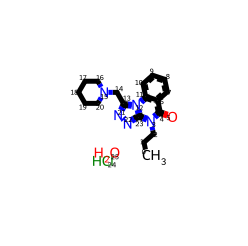 CCCn1c(=O)c2ccccc2n2c(CN3CCCCC3)nnc12.Cl.O